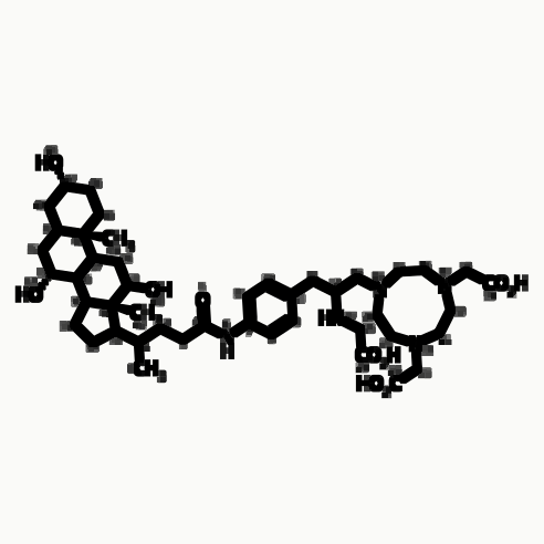 CC(CCC(=O)Nc1ccc(CC(CN2CCN(CC(=O)O)CCN(CC(=O)O)CC2)NCC(=O)O)cc1)C1CCC2C3C(CC(O)[C@]12C)[C@@]1(C)CC[C@@H](O)CC1C[C@H]3O